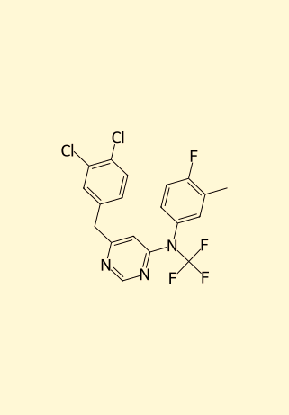 Cc1cc(N(c2cc(Cc3ccc(Cl)c(Cl)c3)ncn2)C(F)(F)F)ccc1F